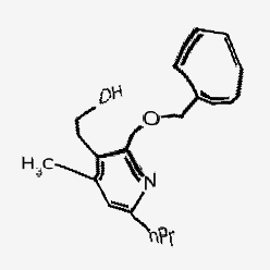 CCCc1cc(C)c(CO)c(OCc2ccccc2)n1